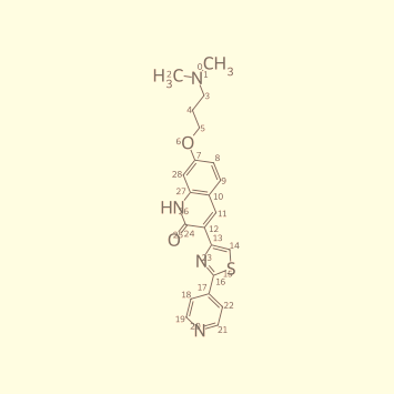 CN(C)CCCOc1ccc2cc(-c3csc(-c4ccncc4)n3)c(=O)[nH]c2c1